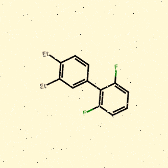 CCc1ccc(-c2c(F)[c]ccc2F)cc1CC